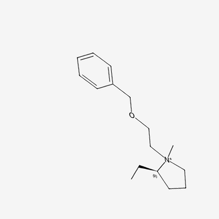 CC[C@@H]1CCC[N+]1(C)CCOCc1ccccc1